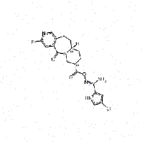 N/C(=N\OC(=O)[C@H]1CC[C@H]2CCc3cnc(F)cc3C(=O)N2C1)c1cc(Cl)c[nH]1